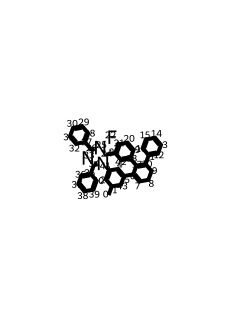 CC1C=CC=C(C2=CCCC(c3ccccc3)=C2c2ccc(F)c(-c3nc(-c4ccccc4)nc(-c4ccccc4)n3)c2)C1